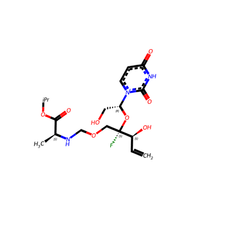 C=C[C@H](O)[C@@](F)(COCN[C@@H](C)C(=O)OC(C)C)O[C@H](CO)n1ccc(=O)[nH]c1=O